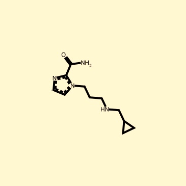 NC(=O)c1n[c]cn1CCCNCC1CC1